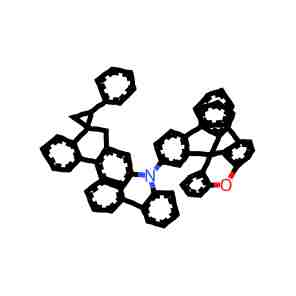 c1ccc(-c2ccccc2N(c2ccc3c(c2)CC2(CC2c2ccccc2)c2ccccc2-3)c2ccc3c(c2)C2(c4ccccc4Oc4cccc(-c5ccccc5)c42)c2ccccc2-3)cc1